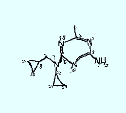 Cc1nc(N)nc(N(CC2CC2)C2CC2)n1